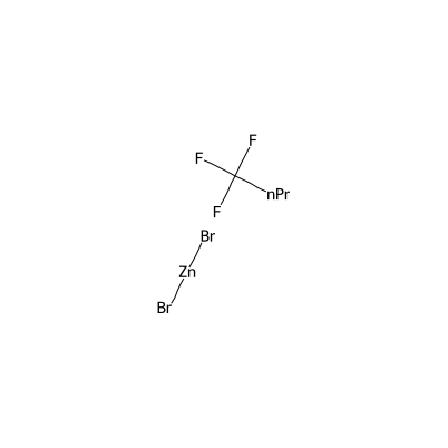 [Br][Zn][Br].[CH2]CCC(F)(F)F